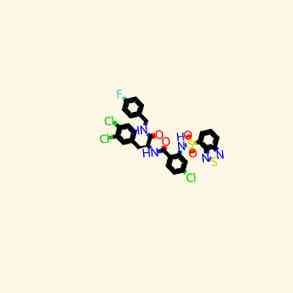 O=C(N[C@@H](Cc1ccc(Cl)c(Cl)c1)C(=O)NCc1ccc(F)cc1)c1ccc(Cl)cc1NS(=O)(=O)c1cccc2nsnc12